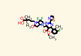 CCOC(=O)C1=C(CN2CC(F)(F)C3C2CC(=O)N3CCCC(C)(C)C(=O)O)NC(c2nccs2)=NC1c1cccc(F)c1C